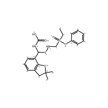 CCP(=O)(CNSC(NC(=O)O)c1cccc2c1OC(C)(C)C2)Oc1ccccc1